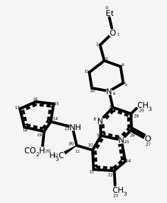 CCOCC1CCN(c2nc3c([C@@H](C)Nc4ccccc4C(=O)O)cc(C)cn3c(=O)c2C)CC1